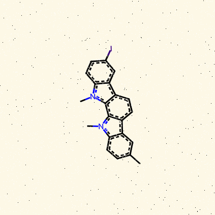 Cc1ccc2c(c1)c1ccc3c4cc(I)ccc4n(C)c3c1n2C